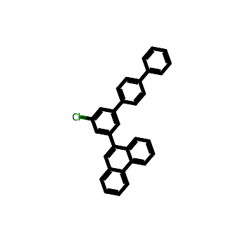 Clc1cc(-c2ccc(-c3ccccc3)cc2)cc(-c2cc3ccccc3c3ccccc23)c1